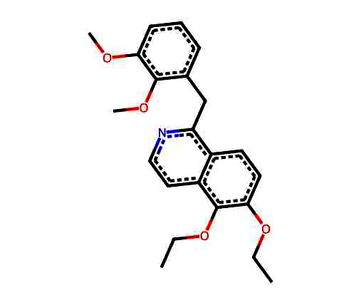 CCOc1ccc2c(Cc3cccc(OC)c3OC)nccc2c1OCC